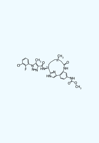 COC(=O)Nc1ccc2c(c1)NC(=O)C[C@H](C)CCC[C@H](NC(=O)c1nnn(-c3cccc(Cl)c3F)c1C)c1nc-2c[nH]1